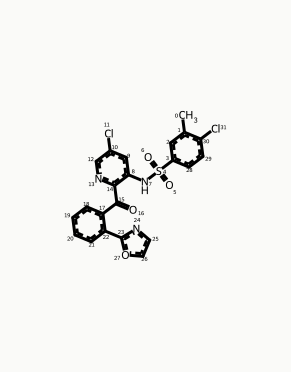 Cc1cc(S(=O)(=O)Nc2cc(Cl)cnc2C(=O)c2ccccc2-c2ncco2)ccc1Cl